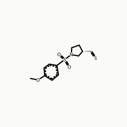 COc1ccc(S(=O)(=O)N2CC[C@H](C=S)C2)cc1